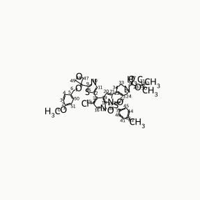 COc1ccc(COC2(c3ncc(-c4c(Cl)cnc5c4cc(C4=CCN(C(=O)OC(C)(C)C)CC4)n5S(=O)(=O)c4ccc(C)cc4)s3)COC2)cc1